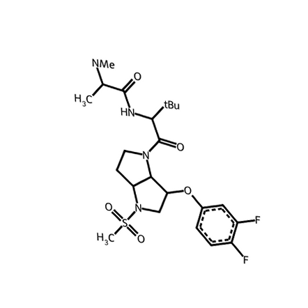 CNC(C)C(=O)NC(C(=O)N1CCC2C1C(Oc1ccc(F)c(F)c1)CN2S(C)(=O)=O)C(C)(C)C